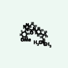 COc1ccc(-n2nnc3c2C(=O)N(c2ccc(C4(CCN(C)C)CC4)cc2)CC3)cc1